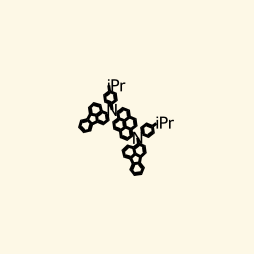 CC(C)c1ccc(N(C2=C3C=CC=C4c5ccccc5C(C=C2)C43)c2ccc3ccc4c(N(c5ccc(C(C)C)cc5)c5ccc6c7c(cccc57)-c5ccccc5-6)ccc5ccc2c3c54)cc1